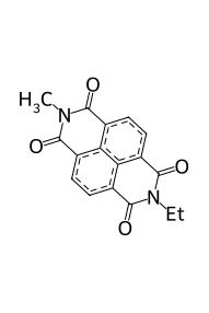 CCN1C(=O)c2ccc3c4c(ccc(c24)C1=O)C(=O)N(C)C3=O